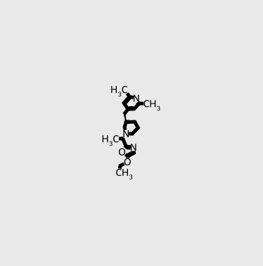 CCOc1cnc(C(C)N2CCC[C@H](Cc3cc(C)nc(C)c3)C2)o1